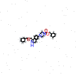 O=C(OCc1ccccc1)N1CCN(c2ccc3c(c2)CCNC3COCc2ccccc2)CC1